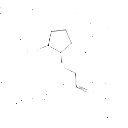 C=CCO[C@@H]1CCCC1O